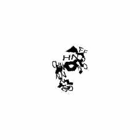 CCn1c(=O)c2c(c3cc(Nc4nc(N5CC(C)S(=O)(=O)C(C)C5)ncc4Cl)ccc31)N[C@@H](C1CC1)C(F)(F)CO2